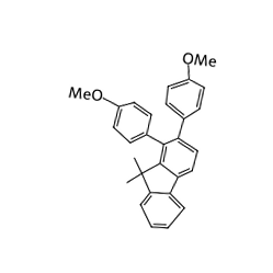 COc1ccc(-c2ccc3c(c2-c2ccc(OC)cc2)C(C)(C)c2ccccc2-3)cc1